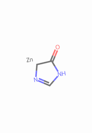 O=C1CN=CN1.[Zn]